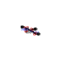 CC(C)(C)OC(=O)N[C@@H](COCc1ccccc1)C(=O)NCCCCN(CCCNC(=O)OCc1ccccc1)C(=O)OCc1ccccc1